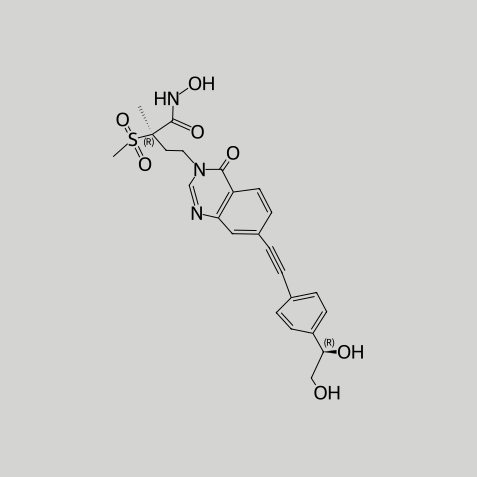 C[C@@](CCn1cnc2cc(C#Cc3ccc([C@@H](O)CO)cc3)ccc2c1=O)(C(=O)NO)S(C)(=O)=O